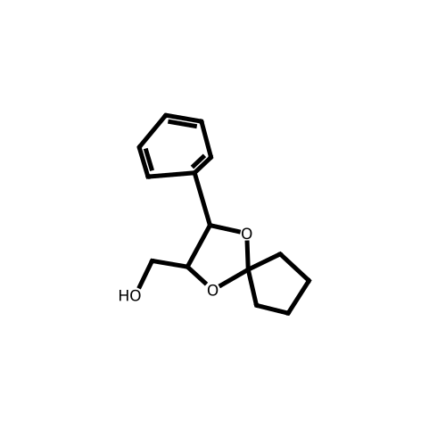 OCC1OC2(CCCC2)OC1c1ccccc1